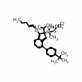 CCCC=[CH][Zr+2][C]1=c2cccc(-c3ccc(C(C)(C)C)cc3)c2=CC1(C(C)C)[Si](C)(C)SC.[Cl-].[Cl-]